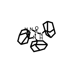 NP(=O)(NC12CC3CC(CC(C3)C1)C2)N(C12CC3CC(CC(C3)C1)C2)C12CC3CC(CC(C3)C1)C2